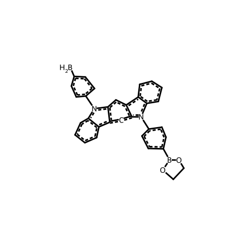 Bc1ccc(-n2c3ccccc3c3cc4c(cc32)c2ccccc2n4-c2ccc(B3OCCO3)cc2)cc1